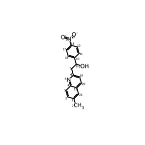 Cc1ccc2nc(CC(O)c3ccc([N+](=O)[O-])cc3)ccc2c1